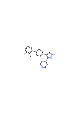 Cc1cccc(-c2ccc(-c3c[nH]nc3-c3ccncc3)cc2)c1C